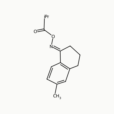 Cc1ccc2c(c1)CCC/C2=N\OC(=O)C(C)C